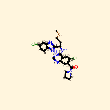 CSCCC(Nc1ncnc2cc(C(=O)N3CCCC3)c(Cl)cc12)c1nc2cc(Cl)ccc2[nH]1